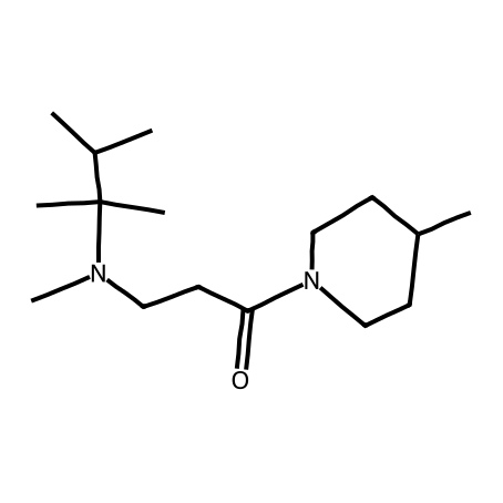 CC1CCN(C(=O)CCN(C)C(C)(C)C(C)C)CC1